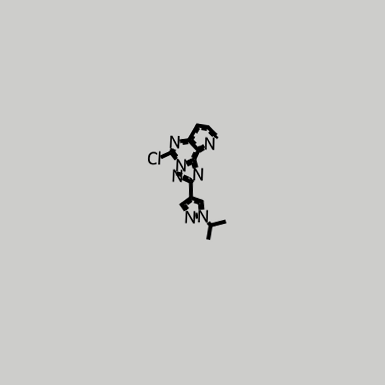 CC(C)n1cc(-c2nc3c4ncccc4nc(Cl)n3n2)cn1